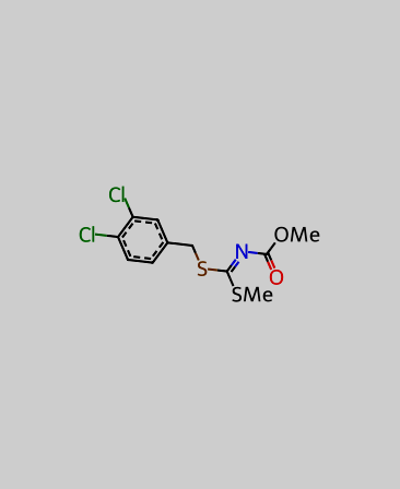 COC(=O)N=C(SC)SCc1ccc(Cl)c(Cl)c1